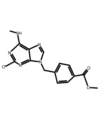 CNc1nc(Cl)nc2c1ncn2Cc1ccc(C(=O)OC)cc1